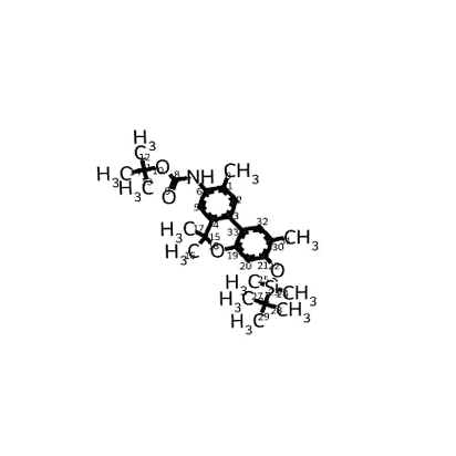 Cc1cc2c(cc1NC(=O)OC(C)(C)C)C(C)(C)Oc1cc(O[Si](C)(C)C(C)(C)C)c(C)cc1-2